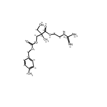 Cc1ccc(COC(=O)OCC(C)(CO)C(=O)OCCNC(=N)N)cc1